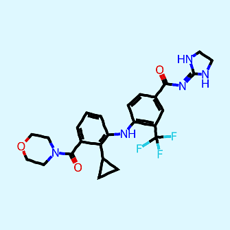 O=C(N=C1NCCN1)c1ccc(Nc2cccc(C(=O)N3CCOCC3)c2C2CC2)c(C(F)(F)F)c1